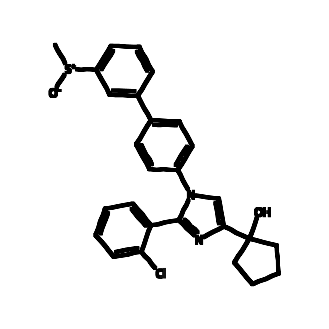 C[S+]([O-])c1cccc(-c2ccc(-n3cc(C4(O)CCCC4)nc3-c3ccccc3Cl)cc2)c1